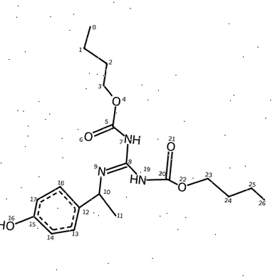 CCCCOC(=O)NC(=NC(C)c1ccc(O)cc1)NC(=O)OCCCC